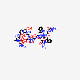 CC(C)C[C@H](NC(=O)[C@@H]1CCCN1C(=O)[C@@H](NC(=O)CNC(=O)[C@H](CC(=O)O)NC(=O)[C@H](CO)NC(=O)[C@H](Cc1c[nH]c2ccccc12)NC(=O)[C@H](CCC(N)=O)NC(=O)[C@H](Cc1c[nH]c2ccccc12)NC(=O)CNC(=O)[C@H](C)N)[C@@H](C)O)C(=O)N[C@@H](CC(N)=O)C(=O)O